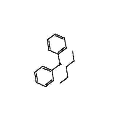 CCCCC.c1ccc([P]c2ccccc2)cc1